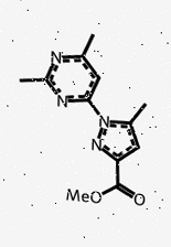 COC(=O)c1cc(C)n(-c2cc(C)nc(C)n2)n1